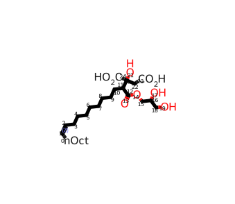 CCCCCCCC/C=C\CCCCCCCCC(C(=O)OCC(O)CO)C(O)(CC(=O)O)C(=O)O